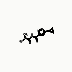 CN(C)C(=O)NC(=O)c1cc(C2CC2)on1